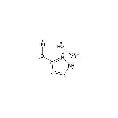 CCOc1cc[nH]n1.O=S(=O)(O)O